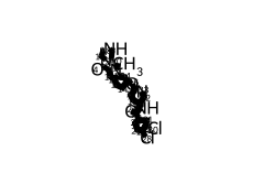 Cn1c(C(=O)N2CCNCC2)cc2ccc(Oc3ccc(NC(=O)c4ccc(Cl)c(Cl)c4)cn3)cc21